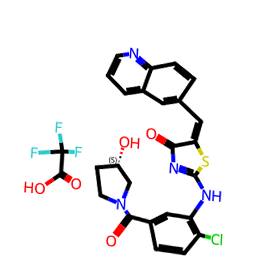 O=C(O)C(F)(F)F.O=C1N=C(Nc2cc(C(=O)N3CC[C@H](O)C3)ccc2Cl)SC1=Cc1ccc2ncccc2c1